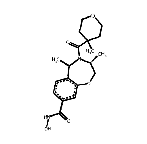 CC1c2ccc(C(=O)NO)cc2OC[C@H](C)N1C(=O)C1(C)CCOCC1